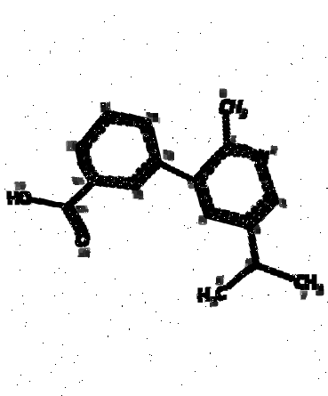 Cc1ncc(C(C)C)cc1-c1cccc(C(=O)O)c1